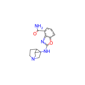 NC(=O)c1cccc2oc(NC3CN4CCC3CC4)nc12